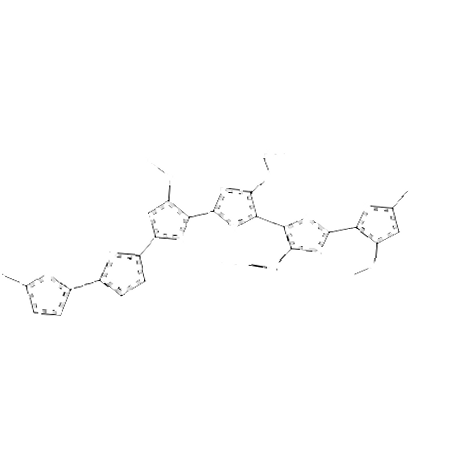 CCCCCCCCOc1cc(C)sc1-c1nc(OCCCCCCCC)c(-c2sc(-c3sc(-c4ccc(-c5ccc(C)s5)s4)cc3OCCCCCCCC)nc2OCCCCCCCC)s1